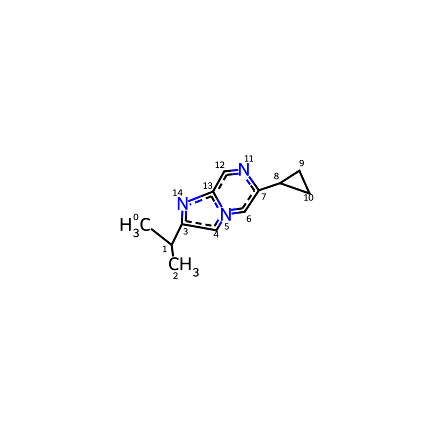 CC(C)c1cn2cc(C3CC3)ncc2n1